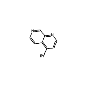 CC(C)c1ccnc2cnccc12